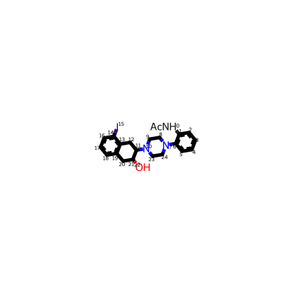 CC(=O)Nc1ccccc1N1CCN(C2Cc3c(I)cccc3CC2O)CC1